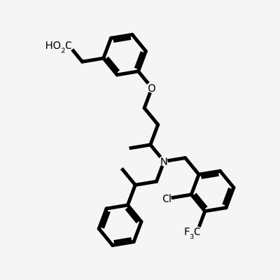 CC(CN(Cc1cccc(C(F)(F)F)c1Cl)C(C)CCOc1cccc(CC(=O)O)c1)c1ccccc1